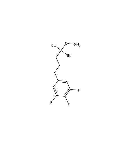 CCC(CC)(CCCc1cc(F)c(F)c(F)c1)O[SiH3]